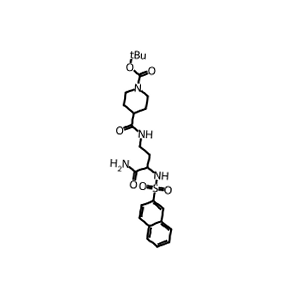 CC(C)(C)OC(=O)N1CCC(C(=O)NCCC(NS(=O)(=O)c2ccc3ccccc3c2)C(N)=O)CC1